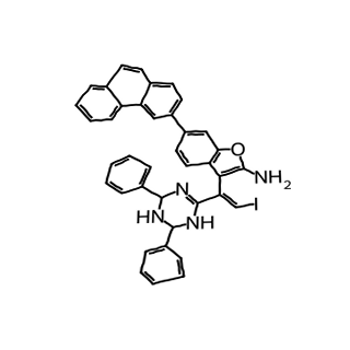 Nc1oc2cc(-c3ccc4ccc5ccccc5c4c3)ccc2c1/C(=C\I)C1=NC(c2ccccc2)NC(c2ccccc2)N1